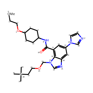 COCCOC1CCC(NC(=O)c2cc(-n3ccnc3)cc3ncn(COCC[Si](C)(C)C)c23)CC1